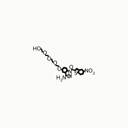 NC(=O)c1cc(OCCOCCOCCOCCO)ccc1NC(=O)c1cc2cc([N+](=O)[O-])ccc2s1